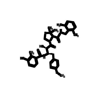 COc1ccc(C[C@H](NC(=O)c2cccc(O)c2C)[C@H](O)C(=O)N2CSC(C)(C)C2C(=O)NCc2c(C)cccc2C)cc1